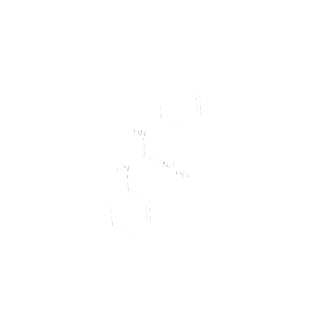 Br.N=C(Nc1ccccc1)Nc1ccccc1